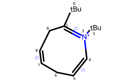 CC(C)(C)/C1=[N+](C(C)(C)C)/C=C\C/C=C\C1